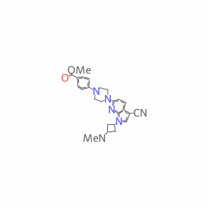 CN[C@H]1C[C@H](n2cc(C#N)c3ccc(N4CCN(c5ccc(C(=O)OC)cc5)CC4)nc32)C1